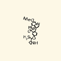 COc1cc(C2(NC(=O)c3cc(OC([SiH3])[C@@H]4CCN4)ccc3C)CC2)c2cccnc2c1